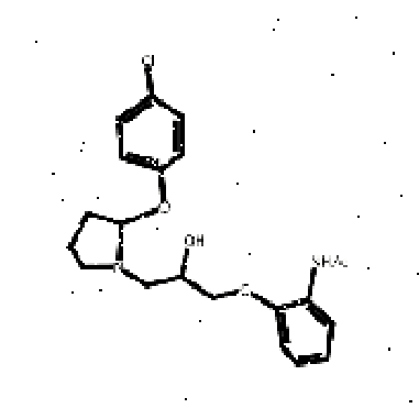 CC(=O)Nc1ccccc1OCC(O)CN1CCCC1Oc1ccc(Cl)cc1